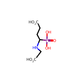 O=C(O)CCC(NCC(=O)O)P(=O)(O)O